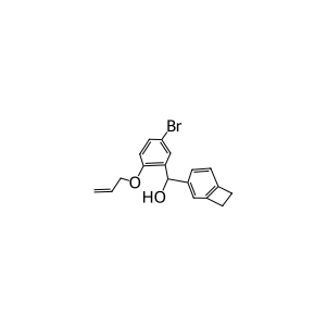 C=CCOc1ccc(Br)cc1C(O)c1ccc2c(c1)CC2